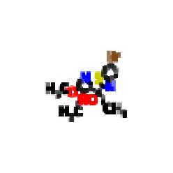 CCCC(O)(c1nc2ccc(Br)cc2s1)c1cncc(OC)c1OCC